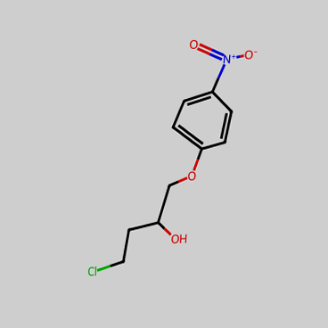 O=[N+]([O-])c1ccc(OCC(O)CCCl)cc1